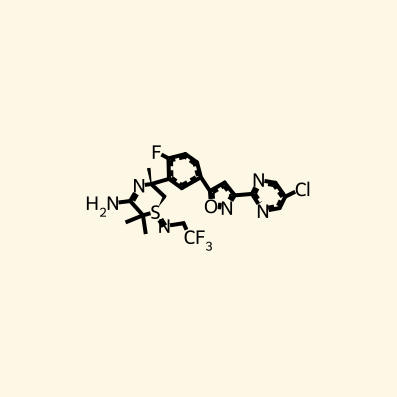 CC1(C)C(N)=N[C@](C)(c2cc(-c3cc(-c4ncc(Cl)cn4)no3)ccc2F)C[S@]1=NCC(F)(F)F